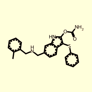 Cc1ccccc1CNCc1ccc2c(Sc3ccccc3)c(OC(N)=O)[nH]c2c1